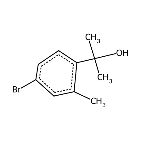 Cc1cc(Br)ccc1C(C)(C)O